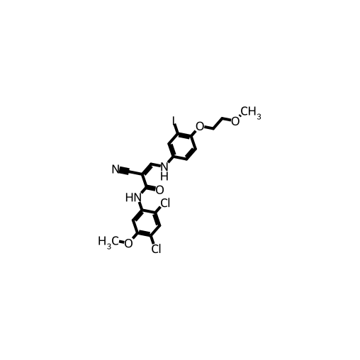 COCCOc1ccc(NC=C(C#N)C(=O)Nc2cc(OC)c(Cl)cc2Cl)cc1I